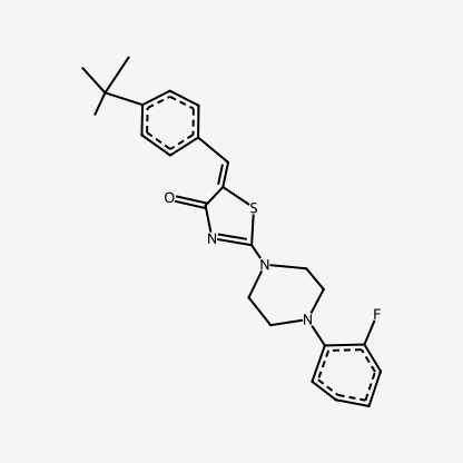 CC(C)(C)c1ccc(C=C2SC(N3CCN(c4ccccc4F)CC3)=NC2=O)cc1